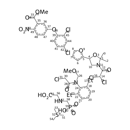 CC1(C)OC(c2ccco2)CN1C(=O)C(Cl)Cl.CCc1cccc(CC)c1N(COC)C(=O)CCl.COC(=O)c1cc(Oc2ccc(Cl)cc2Cl)ccc1[N+](=O)[O-].C[S+](C)C.O=C(O)CNCP(=O)([O-])O